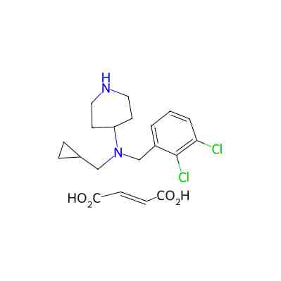 Clc1cccc(CN(CC2CC2)C2CCNCC2)c1Cl.O=C(O)C=CC(=O)O